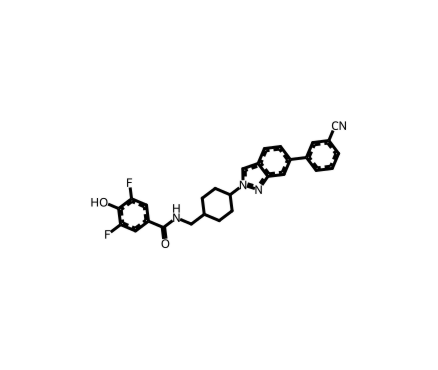 N#Cc1cccc(-c2ccc3cn(C4CCC(CNC(=O)c5cc(F)c(O)c(F)c5)CC4)nc3c2)c1